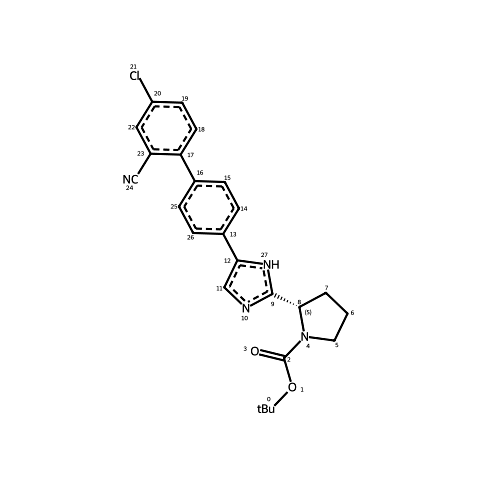 CC(C)(C)OC(=O)N1CCC[C@H]1c1ncc(-c2ccc(-c3ccc(Cl)cc3C#N)cc2)[nH]1